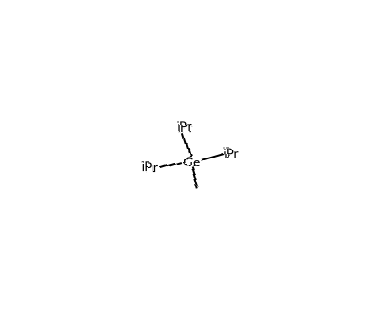 C[CH](C)[Ge]([CH3])([CH](C)C)[CH](C)C